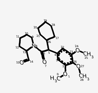 COc1cc(C(C(=O)N2CCCCC2C=O)C2CCCCC2)cc(OC)c1OC